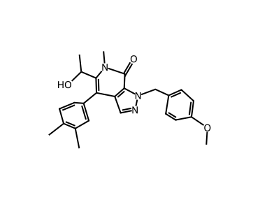 COc1ccc(Cn2ncc3c(-c4ccc(C)c(C)c4)c(C(C)O)n(C)c(=O)c32)cc1